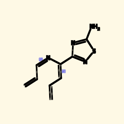 C=C/C=N\C(=C/C=C)c1nsc(N)n1